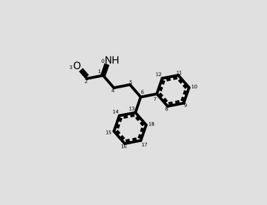 N=C(C=O)CCC(c1ccccc1)c1ccccc1